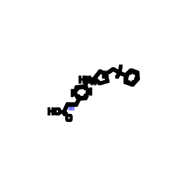 CC(C)(CN1CC[C@@H](Nc2cnc(/C=C/C(=O)O)cn2)C1)c1ccccc1